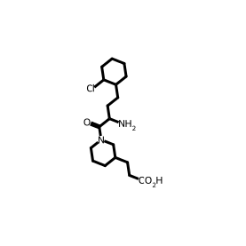 NC(CCC1CCCCC1Cl)C(=O)N1CCCC(CCC(=O)O)C1